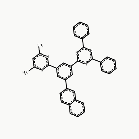 Cc1cc(C)nc(-c2cc(-c3ccc4ccccc4c3)cc(-c3nc(-c4ccccc4)nc(-c4ccccc4)n3)c2)n1